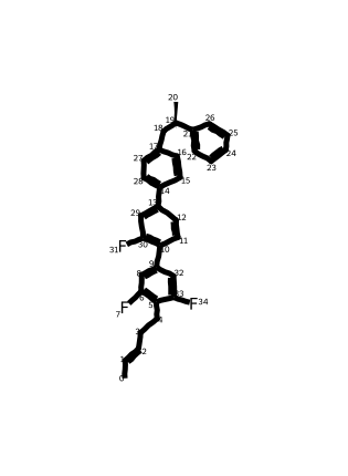 C/C=C/CCc1c(F)cc(-c2ccc(-c3ccc(C[C@@H](C)c4ccccc4)cc3)cc2F)cc1F